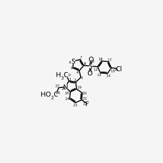 Cc1c(Cc2cscc2S(=O)(=O)c2ccc(Cl)cc2)c2cc(F)ccc2n1CC(=O)O